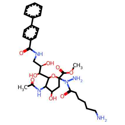 COC(=O)C1(N(N)C(=O)CCCCCN)CC(O)C(NC(C)=O)C(C(O)[C@H](O)CNC(=O)c2ccc(-c3ccccc3)cc2)O1